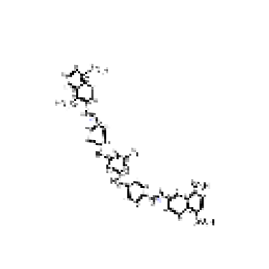 O=S(=O)(O)c1ccc(S(=O)(=O)O)c2cc(/N=N/c3ccc(Nc4nc(O)nc(Nc5ccc(/N=N/c6ccc7c(S(=O)(=O)O)cccc7c6S(=O)(=O)O)cc5)n4)cc3)ccc12